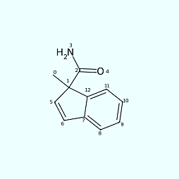 CC1(C(N)=O)C=Cc2ccccc21